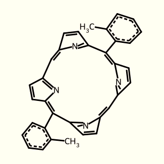 Cc1ccccc1C1=C2C=CC(=N2)C=C2C=CC(=N2)C(c2ccccc2C)=C2C=CC(=N2)C=C2C=CC1=N2